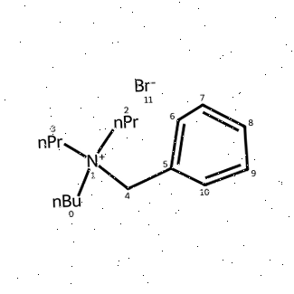 CCCC[N+](CCC)(CCC)Cc1ccccc1.[Br-]